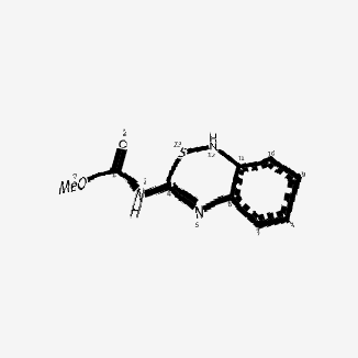 COC(=O)NC1=Nc2ccccc2NS1